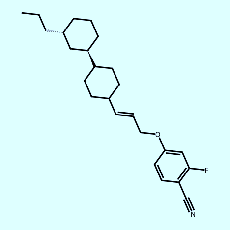 CCC[C@@H]1CCC[C@@H](C2CCC(/C=C/COc3ccc(C#N)c(F)c3)CC2)C1